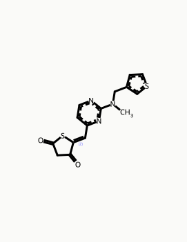 CN(Cc1ccsc1)c1nccc(/C=C2\SC(=O)CC2=O)n1